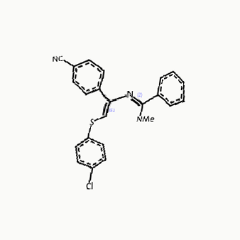 CN/C(=N\C(=C\Sc1ccc(Cl)cc1)c1ccc(C#N)cc1)c1ccccc1